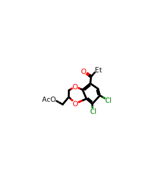 CCC(=O)c1cc(Cl)c(Cl)c2c1OCC(COC(C)=O)O2